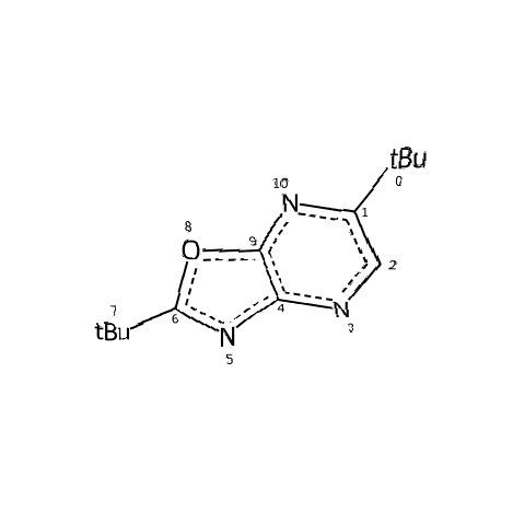 CC(C)(C)c1cnc2nc(C(C)(C)C)oc2n1